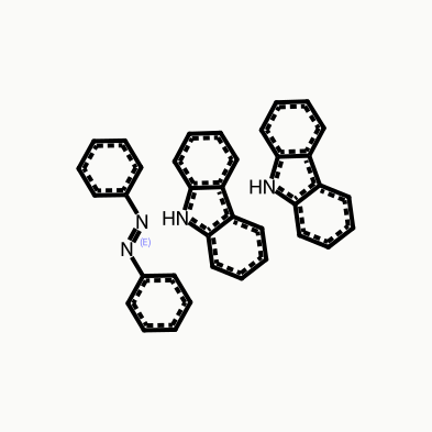 c1ccc(/N=N/c2ccccc2)cc1.c1ccc2c(c1)[nH]c1ccccc12.c1ccc2c(c1)[nH]c1ccccc12